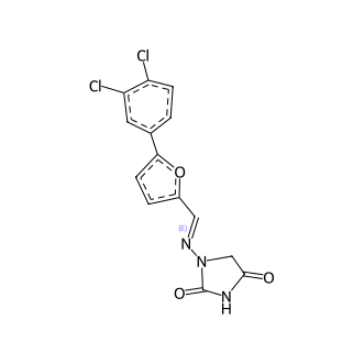 O=C1CN(/N=C/c2ccc(-c3ccc(Cl)c(Cl)c3)o2)C(=O)N1